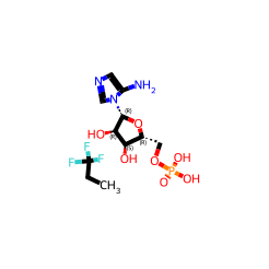 CCC(F)(F)F.Nc1cncn1[C@@H]1O[C@H](COP(=O)(O)O)[C@@H](O)[C@H]1O